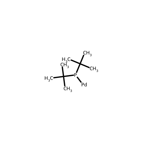 CC(C)(C)[P]([Pd])C(C)(C)C